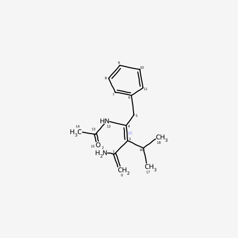 C=C(N)/C(=C(/Cc1ccccc1)NC(C)=O)C(C)C